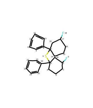 FC1CCCC(SC2(c3ccccc3)CCCC(F)C2)(c2ccccc2)C1